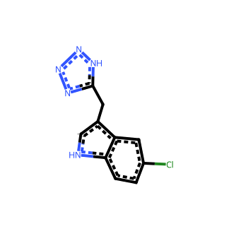 Clc1ccc2[nH][c]c(Cc3nnn[nH]3)c2c1